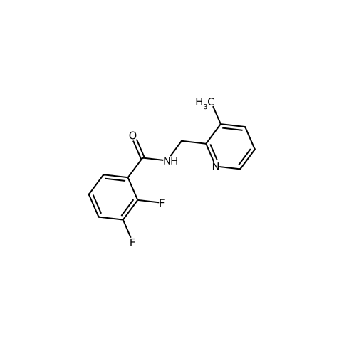 Cc1cccnc1CNC(=O)c1cccc(F)c1F